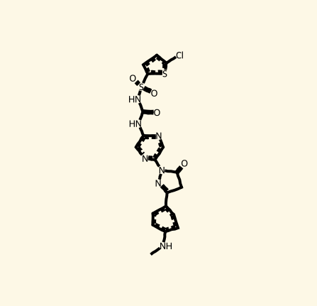 CNc1ccc(C2=NN(c3cnc(NC(=O)NS(=O)(=O)c4ccc(Cl)s4)cn3)C(=O)C2)cc1